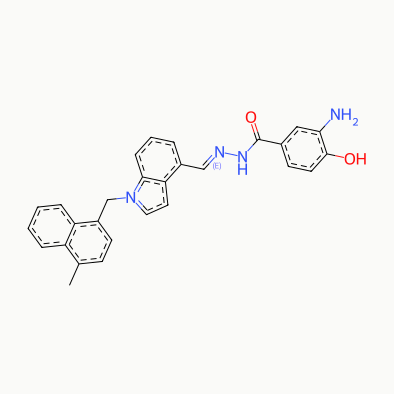 Cc1ccc(Cn2ccc3c(/C=N/NC(=O)c4ccc(O)c(N)c4)cccc32)c2ccccc12